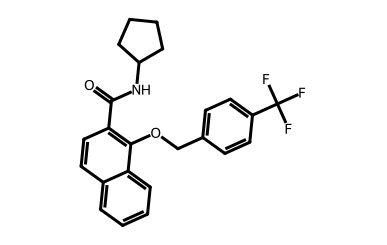 O=C(NC1CCCC1)c1ccc2ccccc2c1OCc1ccc(C(F)(F)F)cc1